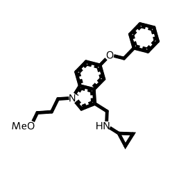 COCCCn1cc(CNC2CC2)c2cc(OCc3ccccc3)ccc21